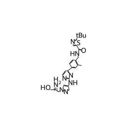 Cc1cc(-c2ccnc(Nc3cnn(C[C@@H](N)CO)c3)n2)ccc1CNC(=O)c1cnc(C(C)(C)C)s1